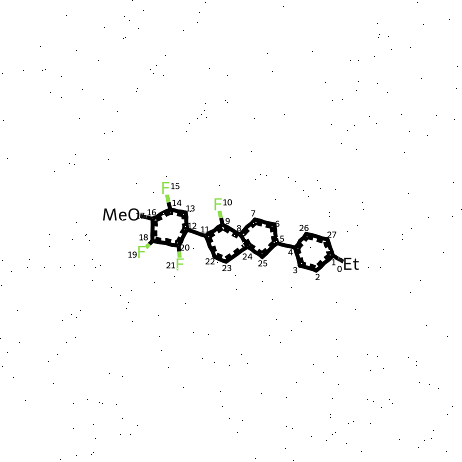 CCc1ccc(-c2ccc3c(F)c(-c4cc(F)c(OC)c(F)c4F)ccc3c2)cc1